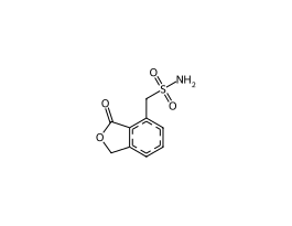 NS(=O)(=O)Cc1cccc2c1C(=O)OC2